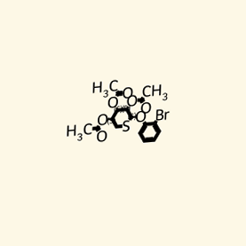 CC(=O)O[C@@H]1[C@@H](OC(C)=O)[C@@H](Oc2ccccc2Br)SC[C@H]1OC(C)=O